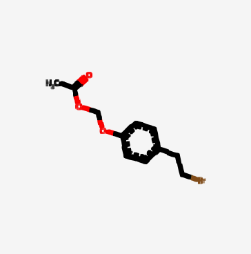 CC(=O)OCOc1ccc(CCBr)cc1